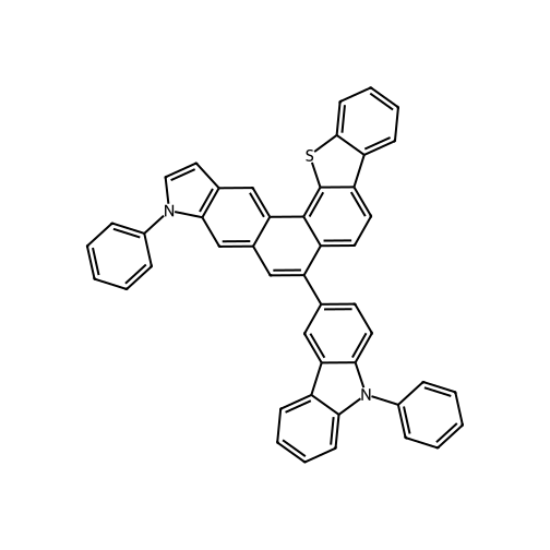 c1ccc(-n2ccc3cc4c(cc(-c5ccc6c(c5)c5ccccc5n6-c5ccccc5)c5ccc6c7ccccc7sc6c54)cc32)cc1